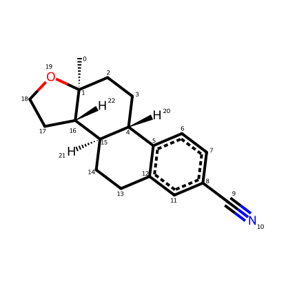 C[C@]12CC[C@@H]3c4ccc(C#N)cc4CC[C@H]3[C@@H]1CCO2